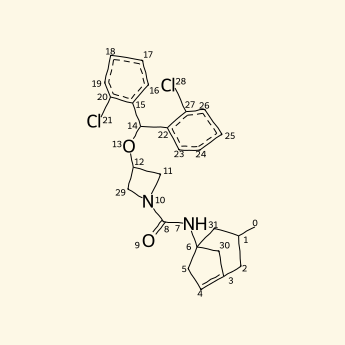 CC1CC2=CCC(NC(=O)N3CC(OC(c4ccccc4Cl)c4ccccc4Cl)C3)(C2)C1